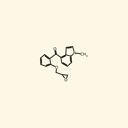 Cn1ccc2c(C(=O)c3ccccc3OCC3CO3)cccc21